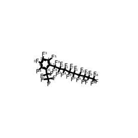 Fc1c(F)c(F)c(C(F)(F)C(F)(F)C(F)(F)C(F)(F)C(F)(F)C(F)(F)C(F)(F)C(F)(F)C(F)(F)F)c(C(F)(F)C(F)(F)F)c1F